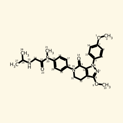 COc1ccc(-n2nc(OC)c3c2C(=O)N(c2ccc(N(C)C(=O)CNC(C)C)cc2)CC3)cc1